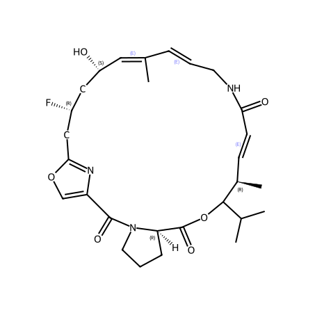 CC1=C\[C@@H](O)C[C@@H](F)Cc2nc(co2)C(=O)N2CCC[C@@H]2C(=O)OC(C(C)C)[C@H](C)/C=C/C(=O)NC\C=C\1